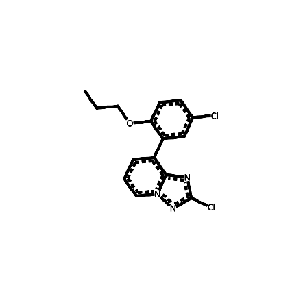 CCCOc1ccc(Cl)cc1-c1cccn2nc(Cl)nc12